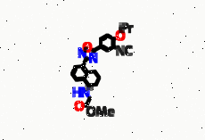 [C-]#[N+]c1cc(-c2nc(-c3cccc4c3CCC[C@@H]4NCC(=O)OC)no2)ccc1OC(C)C